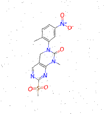 Cc1ccc([N+](=O)[O-])cc1N1Cc2cnc(S(C)(=O)=O)nc2N(C)C1=O